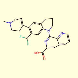 CN1CC=C(c2cc3c(cc2C(F)F)N(c2nc(C(=O)O)cc4cccnc24)CCC3)CC1